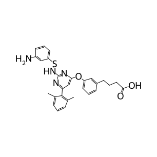 Cc1cccc(C)c1-c1cc(Oc2cccc(CCCC(=O)O)c2)nc(NSc2cccc(N)c2)n1